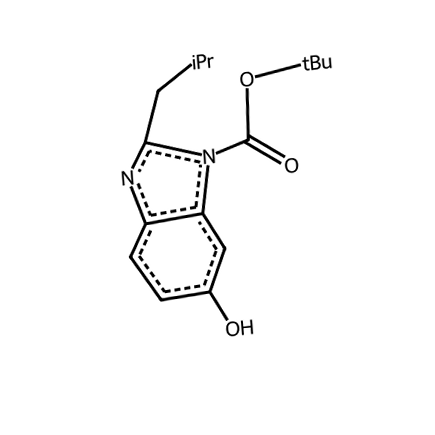 CC(C)Cc1nc2ccc(O)cc2n1C(=O)OC(C)(C)C